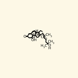 C[C@H](CCCC(C)(C)O)[C@H]1CC[C@H]2[C@@H]3C=CC4=CC(=O)C[C@H](O)[C@]4(C)[C@H]3CC[C@]12C